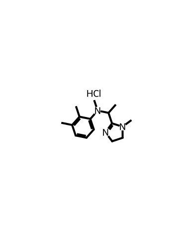 Cc1cccc(N(C)C(C)C2=NCCN2C)c1C.Cl